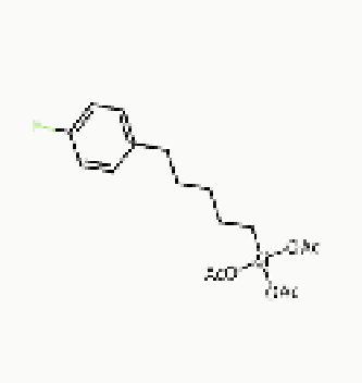 CC(=O)O[Si](CCCCCc1ccc(F)cc1)(OC(C)=O)OC(C)=O